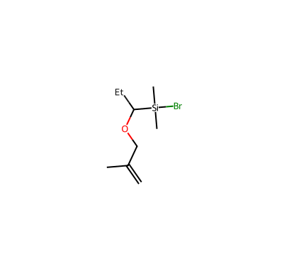 C=C(C)COC(CC)[Si](C)(C)Br